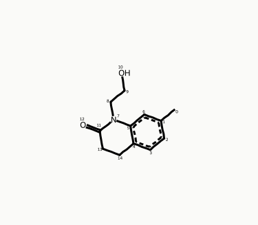 Cc1ccc2c(c1)N(CCO)C(=O)CC2